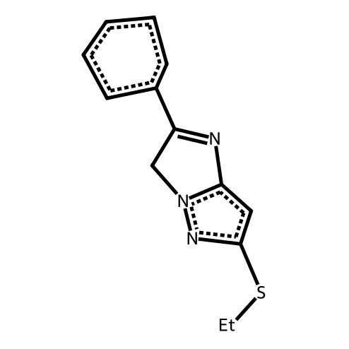 CCSc1cc2n(n1)CC(c1ccccc1)=N2